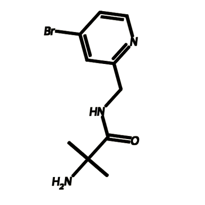 CC(C)(N)C(=O)NCc1cc(Br)ccn1